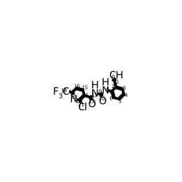 C#Cc1ccccc1NC(=O)NC(=O)c1ccc(C(F)(F)F)nc1Cl